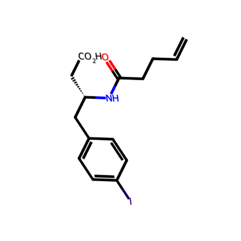 C=CCCC(=O)N[C@@H](CC(=O)O)Cc1ccc(I)cc1